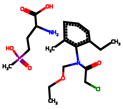 CCOCN(C(=O)CCl)c1c(C)cccc1CC.CP(=O)(O)CCC(N)C(=O)O